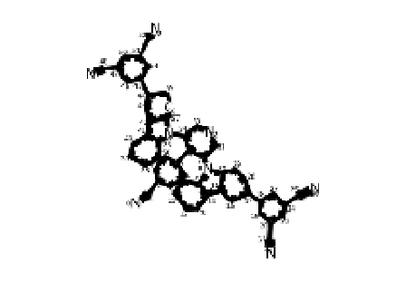 N#Cc1ccc(-c2c(-n3c4ccccc4c4cc(-c5cc(C#N)cc(C#N)c5)ccc43)cncc2-n2c3ccccc3c3cc(-c4cc(C#N)cc(C#N)c4)ccc32)cc1